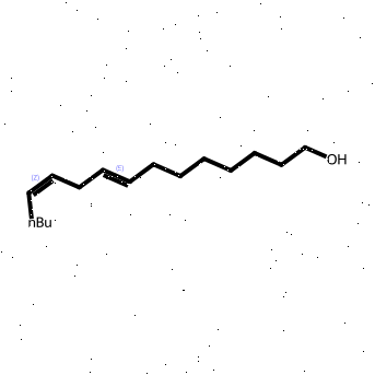 CCCC/C=C\C/C=C/CCCCCCCO